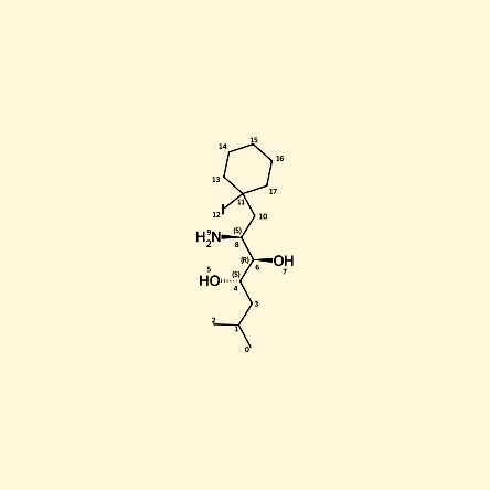 CC(C)C[C@H](O)[C@H](O)[C@@H](N)CC1(I)CCCCC1